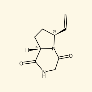 C=C[C@@H]1CC[C@H]2C(=O)NCC(=O)N12